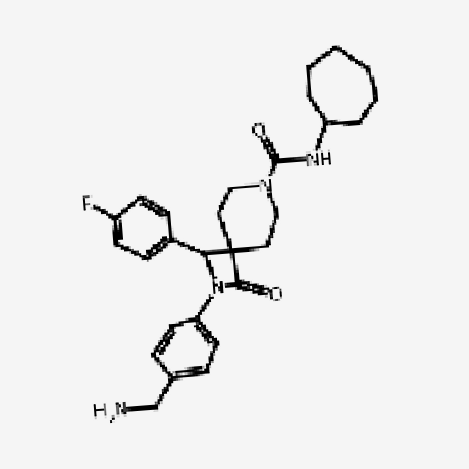 NCc1ccc(N2C(=O)C3(CCN(C(=O)NC4CCCCCC4)CC3)C2c2ccc(F)cc2)cc1